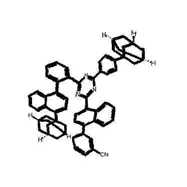 N#Cc1cccc(-c2ccc(-c3nc(-c4ccc(C56C[C@H]7C[C@@H](C5)C[C@@H](C6)C7)cc4)nc(-c4ccccc4-c4ccc(C56C[C@H]7C[C@@H](C5)C[C@@H](C6)C7)c5ccccc45)n3)c3ccccc23)c1